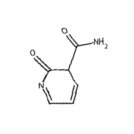 NC(=O)C1C=CC=NC1=O